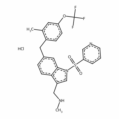 CNCc1cn(S(=O)(=O)c2cccnc2)c2cc(Cc3ccc(OC(F)(F)F)cc3C)ccc12.Cl